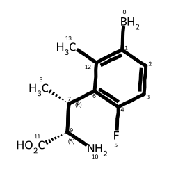 Bc1ccc(F)c([C@@H](C)[C@H](N)C(=O)O)c1C